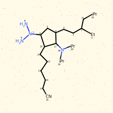 CCC(CCC1CC(N(N)N)C(CCCCCC#N)C1N(C(C)C)C(C)C)CC(C)C